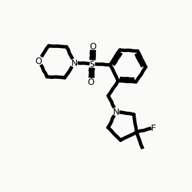 CC1(F)CCN(Cc2ccccc2S(=O)(=O)N2CCOCC2)C1